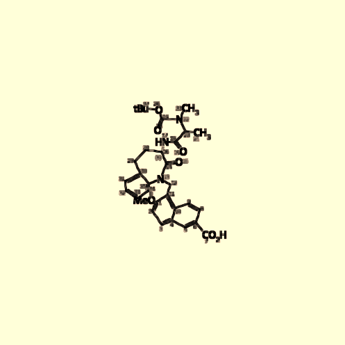 COc1ccc2cc(C(=O)O)ccc2c1CN1C(=O)[C@@H](NC(=O)C(C)N(C)C(=O)OC(C)(C)C)CCc2ccccc21